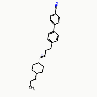 CCC[C@H]1CC[C@H](/C=C/CCc2ccc(-c3ccc(C#N)cc3)cc2)CC1